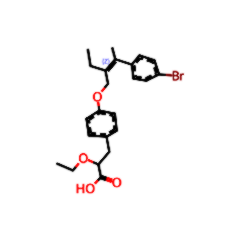 CCOC(Cc1ccc(OC/C(CC)=C(/C)c2ccc(Br)cc2)cc1)C(=O)O